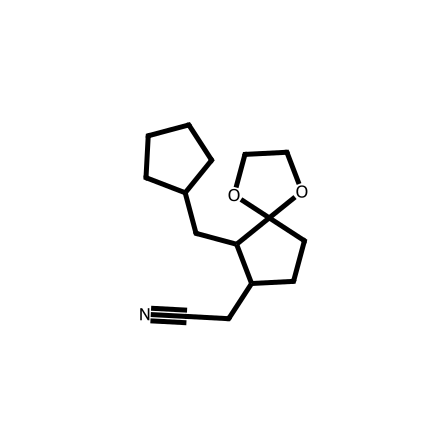 N#CCC1CCC2(OCCO2)C1CC1CCCC1